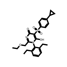 CCOCc1nc(=O)c(S(=O)(=O)c2ccc(C3CC3)cc2)c(O)n1-c1c(CC)cccc1CC